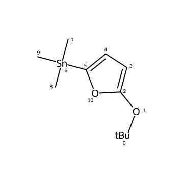 CC(C)(C)Oc1cc[c]([Sn]([CH3])([CH3])[CH3])o1